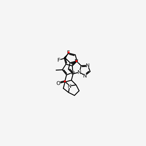 Cc1c(C(=O)N2C3CCC(c4cc(C(F)F)nc5ncnn45)C2CC3)oc2ccccc12